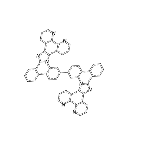 c1ccc2c(c1)c1ccc(-c3ccc4c5ccccc5c5nc6c7cccnc7c7ncccc7c6n5c4c3)cc1n1c2nc2c3cccnc3c3ncccc3c21